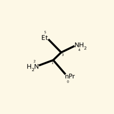 CCCC(N)C(N)CC